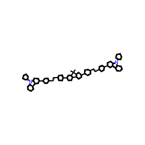 CC1(C)c2cc(-c3ccc(/C=C/c4ccc(-c5ccc6c(c5)c5ccccc5n6-c5ccccc5)cc4)cc3)ccc2-c2ccc(-c3ccc(/C=C/c4ccc(-c5ccc6c(c5)c5ccccc5n6-c5ccccc5)cc4)cc3)cc21